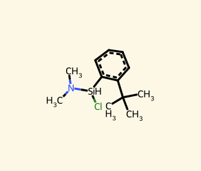 CN(C)[SiH](Cl)c1ccccc1C(C)(C)C